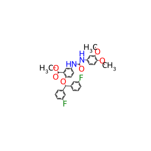 COC(=O)c1cc(NC(=O)Nc2ccc(OC)c(OC)c2)ccc1OC(c1cccc(F)c1)c1cccc(F)c1